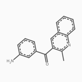 Cc1nc2ccccc2cc1C(=O)c1cccc(N)c1